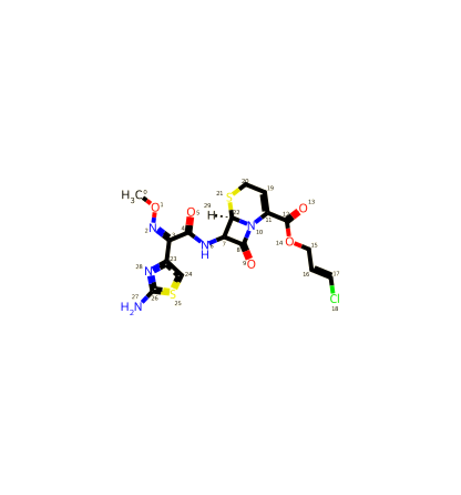 CO/N=C(\C(=O)NC1C(=O)N2C(C(=O)OC/C=C/Cl)=CCS[C@H]12)c1csc(N)n1